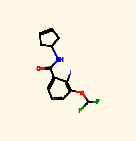 O=C(NC1CC=CC1)c1cccc(OC(F)F)c1I